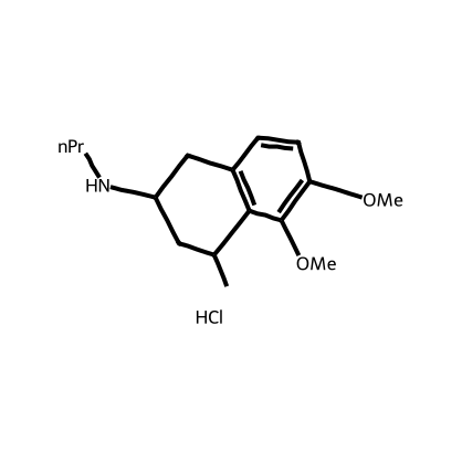 CCCNC1Cc2ccc(OC)c(OC)c2C(C)C1.Cl